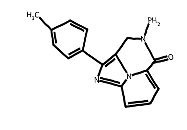 Cc1ccc(-c2nc3cccc4n3c2CN(P)C4=O)cc1